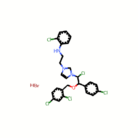 Br.Clc1ccc(C(OCc2ccc(Cl)cc2Cl)C(Cl)N2C=CN(CCNc3ccccc3Cl)C2)cc1